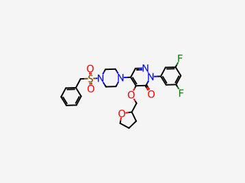 O=c1c(OCC2CCCO2)c(N2CCN(S(=O)(=O)Cc3ccccc3)CC2)cnn1-c1cc(F)cc(F)c1